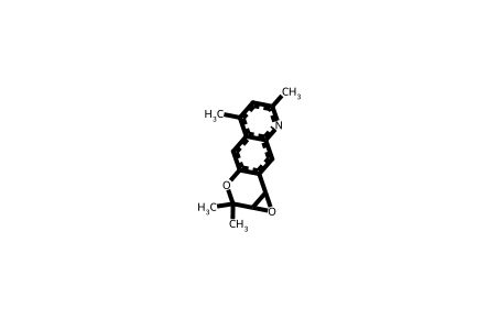 Cc1cc(C)c2cc3c(cc2n1)C1OC1C(C)(C)O3